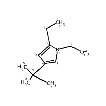 CCc1cc(C(C)(C)C)cn1CC